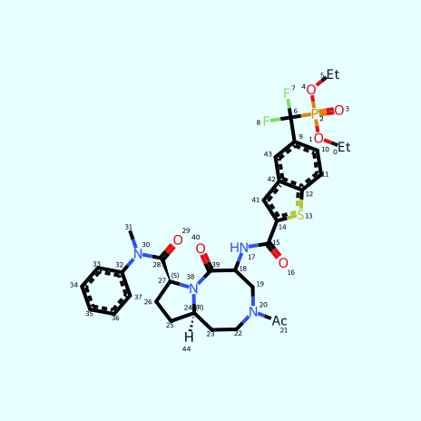 CCOP(=O)(OCC)C(F)(F)c1ccc2sc(C(=O)NC3CN(C(C)=O)CC[C@H]4CC[C@@H](C(=O)N(C)c5ccccc5)N4C3=O)cc2c1